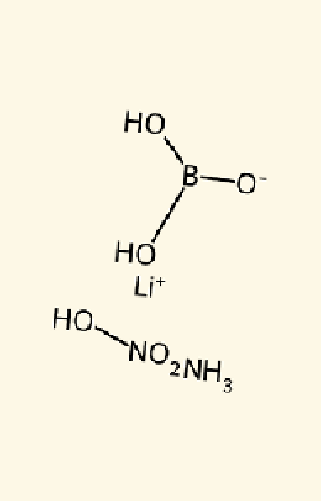 N.O=[N+]([O-])O.[Li+].[O-]B(O)O